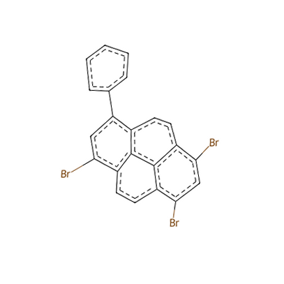 Brc1cc(Br)c2ccc3c(-c4ccccc4)cc(Br)c4ccc1c2c43